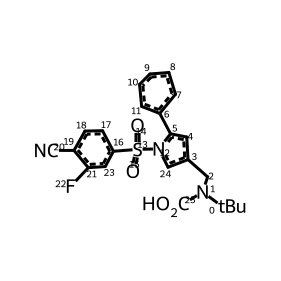 CC(C)(C)N(Cc1cc(-c2ccccc2)n(S(=O)(=O)c2ccc(C#N)c(F)c2)c1)C(=O)O